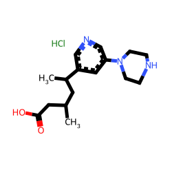 CC(CC(=O)O)CC(C)c1cncc(N2CCNCC2)c1.Cl